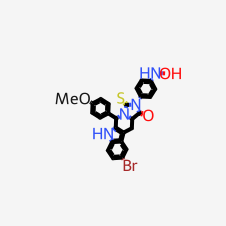 COc1ccc(C2c3[nH]c4ccc(Br)cc4c3CC3C(=O)N(c4ccc(NO)cc4)C(=S)N32)cc1